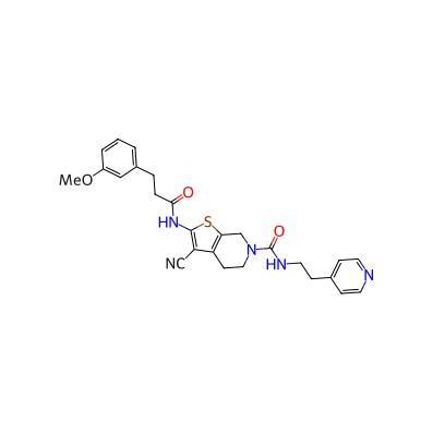 COc1cccc(CCC(=O)Nc2sc3c(c2C#N)CCN(C(=O)NCCc2ccncc2)C3)c1